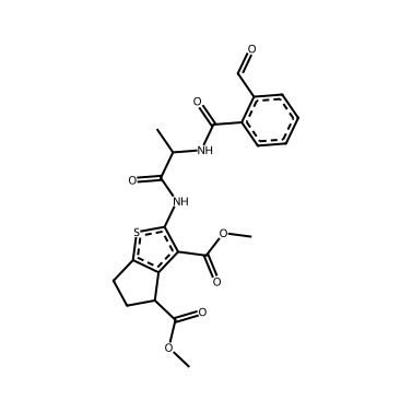 COC(=O)c1c(NC(=O)C(C)NC(=O)c2ccccc2C=O)sc2c1C(C(=O)OC)CC2